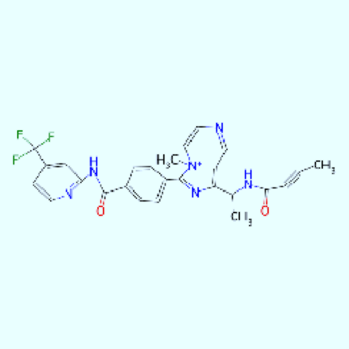 CC#CC(=O)NC(C)C1=C2C=NC=C[N+]2(C)C(c2ccc(C(=O)Nc3cc(C(F)(F)F)ccn3)cc2)=N1